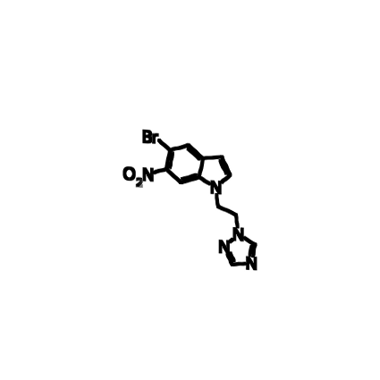 O=[N+]([O-])c1cc2c(ccn2CCn2cncn2)cc1Br